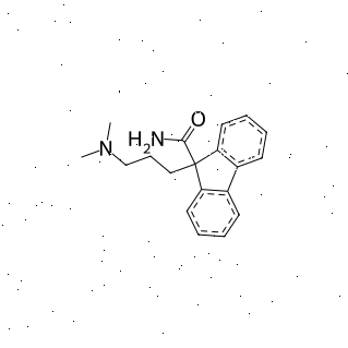 CN(C)CCCC1(C(N)=O)c2ccccc2-c2ccccc21